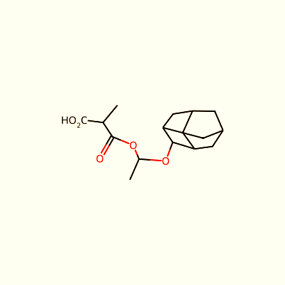 CC(OC(=O)C(C)C(=O)O)OC1C2CC3CC(C2)CC1C3